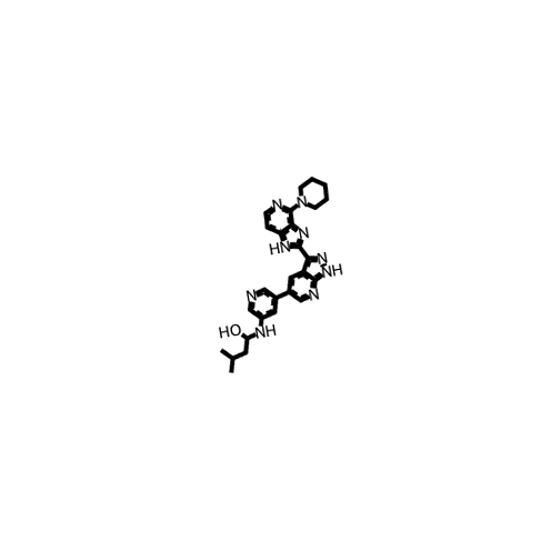 CC(C)CC(O)Nc1cncc(-c2cnc3[nH]nc(-c4nc5c(N6CCCCC6)nccc5[nH]4)c3c2)c1